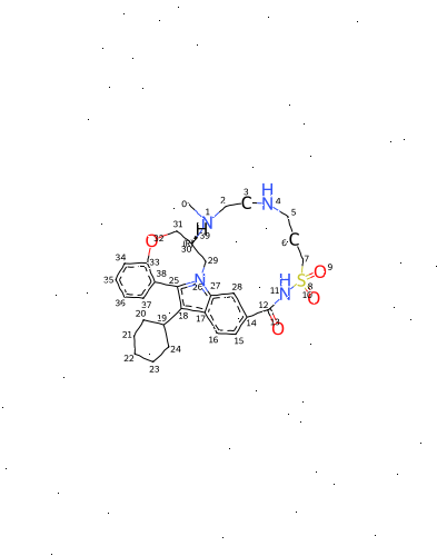 CN1CCNCCCS(=O)(=O)NC(=O)c2ccc3c(C4CCCCC4)c4n(c3c2)C[C@@H]1COc1ccccc1-4